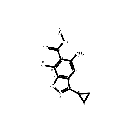 COC(=O)c1c(N)cc2c(C3CC3)noc2c1Cl